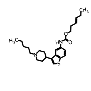 CCC=CCCOC(=O)Nc1ccc2scc(C3CCN(CCCCC)CC3)c2c1